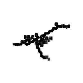 CC#CCOc1ccc(C[C@H](NC(=O)[C@@H](/C=C/CCCCCCC(=O)CCCCCCC)[C@@](O)(CC(=O)OCCCCCN)C(=O)O)C(=O)O)cc1